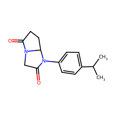 CC(C)c1ccc(N2C(=O)CN3C(=O)CCC32)cc1